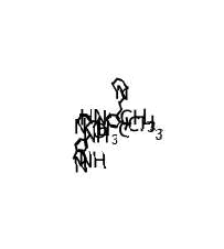 CC(C)(C)c1ccc(NC(=O)c2cccnc2Nc2ccc3cn[nH]c3c2)cc1CCCN1CCCCC1